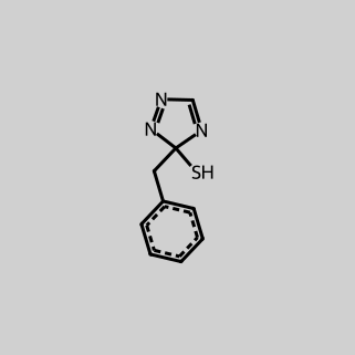 SC1(Cc2ccccc2)N=CN=N1